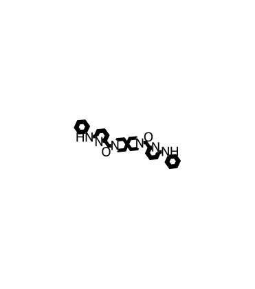 O=C(c1cccc(Nc2ccccc2)n1)N1CCC2(CC1)CCN(C(=O)c1cccc(Nc3ccccc3)n1)CC2